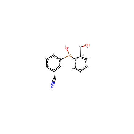 N#Cc1cccc([S+]([O-])c2ccccc2CO)c1